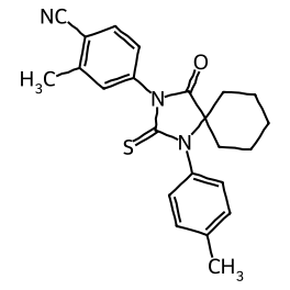 Cc1ccc(N2C(=S)N(c3ccc(C#N)c(C)c3)C(=O)C23CCCCC3)cc1